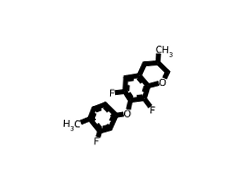 Cc1ccc(Oc2c(F)cc3c(c2F)OCC(C)C3)cc1F